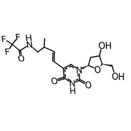 CC(/C=C/c1cn([C@H]2CC(O)[C@@H](CO)O2)c(=O)[nH]c1=O)CNC(=O)C(F)(F)F